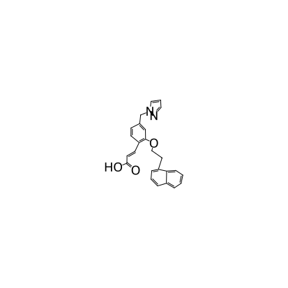 O=C(O)/C=C/c1ccc(Cn2cccn2)cc1OCCc1cccc2ccccc12